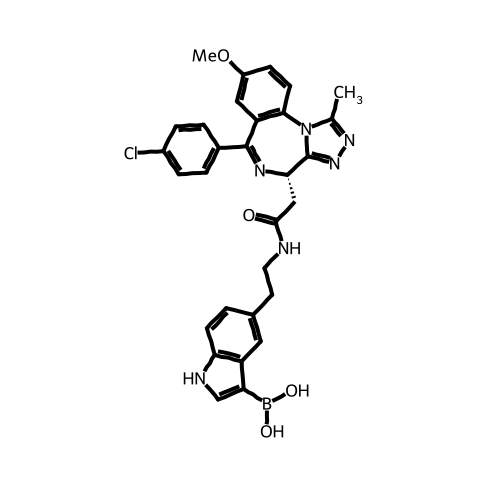 COc1ccc2c(c1)C(c1ccc(Cl)cc1)=N[C@@H](CC(=O)NCCc1ccc3[nH]cc(B(O)O)c3c1)c1nnc(C)n1-2